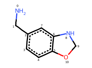 NCc1ccc2c(c1)NCO2